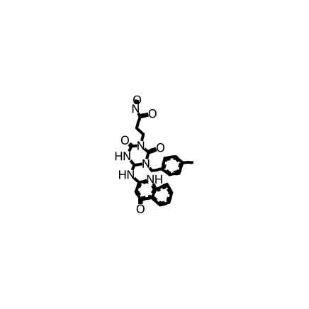 Cc1ccc(CN2C(=O)N(CCC(=O)N=O)C(=O)NC2Nc2cc(=O)c3ccccc3[nH]2)cc1